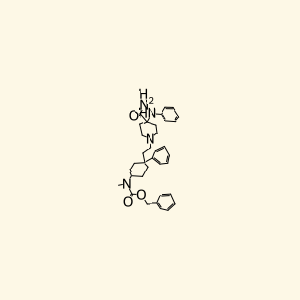 CN(C(=O)OCc1ccccc1)C1CCC(CCN2CCC(Nc3ccccc3)(C(N)=O)CC2)(c2ccccc2)CC1